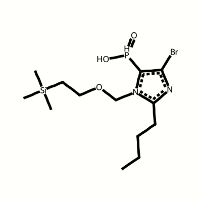 CCCCc1nc(Br)c([PH](=O)O)n1COCC[Si](C)(C)C